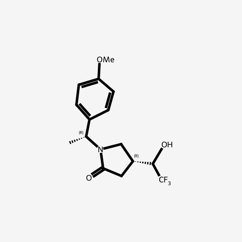 COc1ccc([C@@H](C)N2C[C@H](C(O)C(F)(F)F)CC2=O)cc1